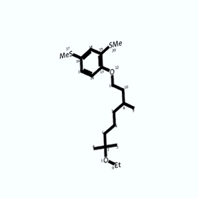 CCOC(C)(C)CCCC(C)CCOc1ccc(SC)cc1SC